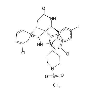 CS(=O)(=O)N1CCC(Oc2ccc(I)cc2[C@@H]2NC(=O)C[C@@H](C3C=CC=C(Cl)C3)[C@]23C(=O)Nc2cc(Cl)ccc23)CC1